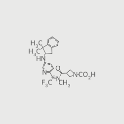 CN(C(=O)C1CN(C(=O)O)C1)[C@@H](c1ccc(NC2Cc3ccccc3C2(C)C)cn1)C(F)(F)F